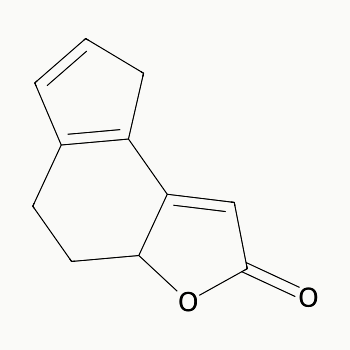 O=C1C=C2C3=C(C=CC3)CCC2O1